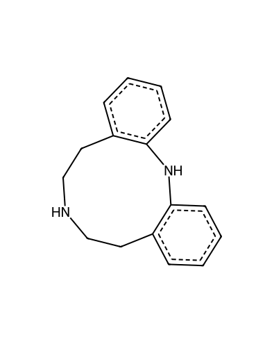 c1ccc2c(c1)CCNCCc1ccccc1N2